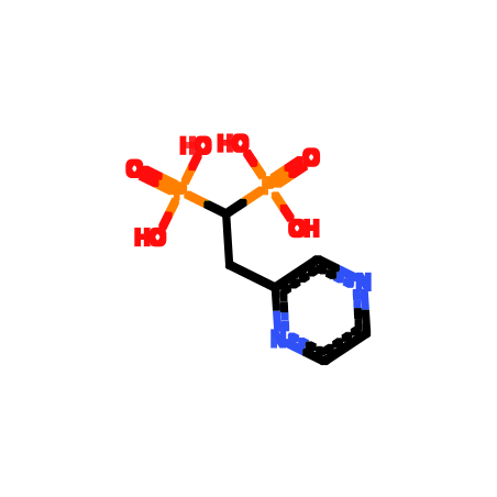 O=P(O)(O)C(Cc1cnccn1)P(=O)(O)O